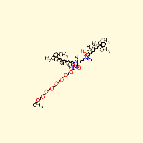 CCCOCCOCCOCCOCCOCCOCCOCCOCCNC(=O)[C@@H](CCCCNC(=O)/C=C(C)/C=C/C=C(C)/C=C/C1=C(C)CCCC1(C)C)NC(=O)/C=C(C)/C=C/C=C(C)/C=C/C1=C(C)CCCC1(C)C